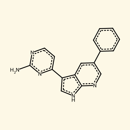 Nc1nccc(-c2c[nH]c3ncc(-c4ccccc4)cc23)n1